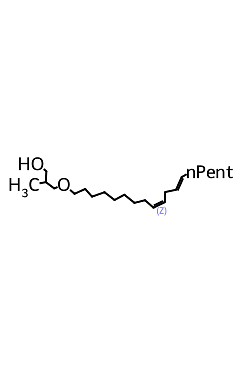 CCCCCC=CC/C=C\CCCCCCCCOCC(C)CO